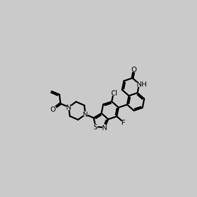 C=CC(=O)N1CCN(c2snc3c(F)c(-c4cccc5[nH]c(=O)ccc45)c(Cl)cc23)CC1